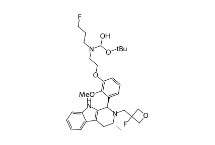 COc1c(OCCN(CCCF)C(O)OC(C)(C)C)cccc1[C@@H]1c2[nH]c3ccccc3c2C[C@@H](C)N1CC1(F)COC1